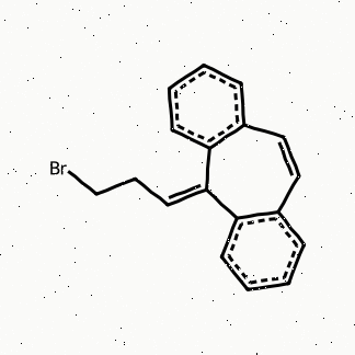 BrCCC=C1c2ccccc2C=Cc2ccccc21